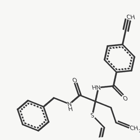 C#Cc1ccc(C(=O)NC(CC=C)(SC=C)C(=O)NCc2ccccc2)cc1